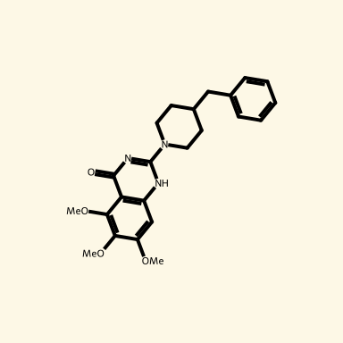 COc1cc2[nH]c(N3CCC(Cc4ccccc4)CC3)nc(=O)c2c(OC)c1OC